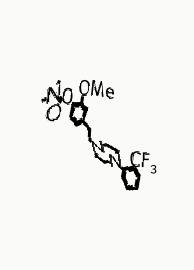 COc1cc(CCN2CCN(c3ccccc3C(F)(F)F)CC2)ccc1OC(=O)N(C)C